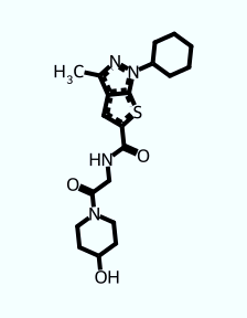 Cc1nn(C2CCCCC2)c2sc(C(=O)NCC(=O)N3CCC(O)CC3)cc12